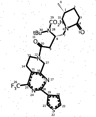 C[C@@H]1CCC(=O)N(C[C@H](CC(=O)N2CCc3c(nc(-c4ccsc4)nc3C(F)(F)F)C2)N(C(=O)O)C(C)(C)C)C1